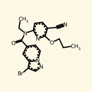 CCCOc1nc(N(CC)C(=O)c2ccn3ncc(Br)c3c2)ccc1C#N